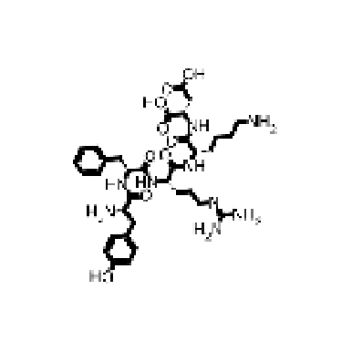 NCCCC[C@H](NC(=O)[C@H](CCCN=C(N)N)NC(=O)[C@H](Cc1ccccc1)NC(=O)[C@@H](N)Cc1ccc(O)cc1)C(=O)N[C@@H](CC(=O)O)C(=O)O